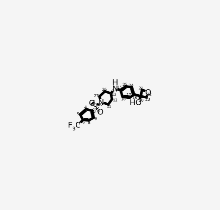 O=S(=O)(c1ccc(C(F)(F)F)cc1)N1CCC(Nc2ccc(C3(O)COC3)cc2)CC1